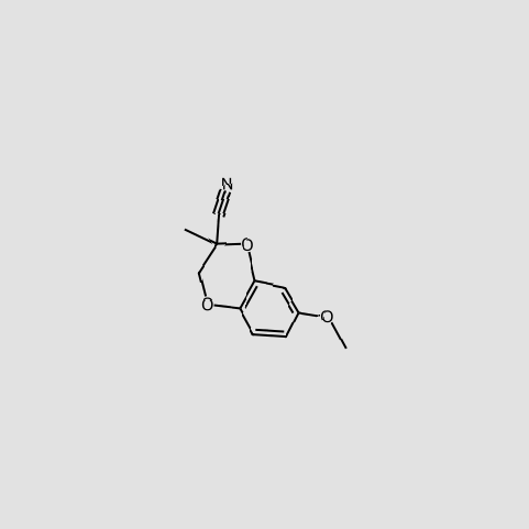 COc1ccc2c(c1)OC(C)(C#N)CO2